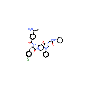 CC(C)C(N)c1ccc(C(=O)N[C@H](Cc2ccc(Cl)cc2)C(=O)N2CCC3(CC2)C(=O)N(CC(=O)NC2CCCCC2)CN3c2ccccc2)cc1